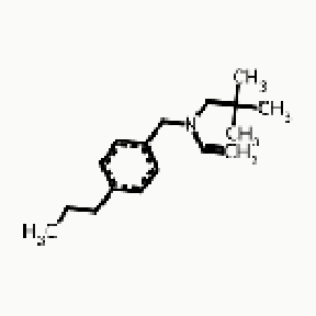 C=CN(Cc1ccc(CCC)cc1)CC(C)(C)C